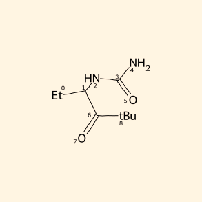 CCC(NC(N)=O)C(=O)C(C)(C)C